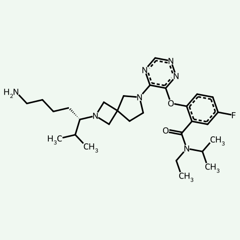 CCN(C(=O)c1cc(F)ccc1Oc1nncnc1N1CCC2(C1)CN([C@@H](CCCCN)C(C)C)C2)C(C)C